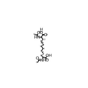 CC(=O)NC(CSCCCSSCC(NC(C)=O)C(=O)O)C(=O)O